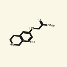 COC(=O)CNc1ccc2c(c1)CCNC2.Cl